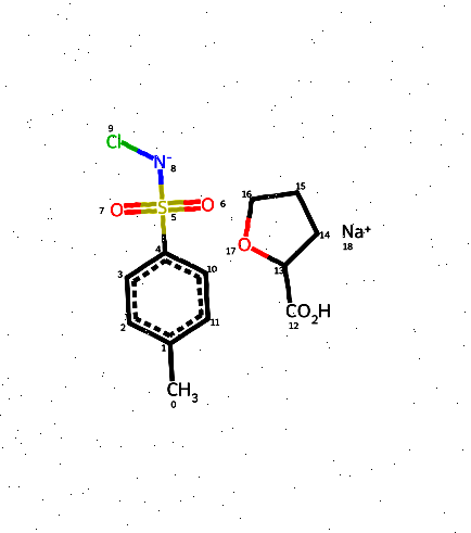 Cc1ccc(S(=O)(=O)[N-]Cl)cc1.O=C(O)C1CCCO1.[Na+]